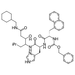 CC(C)CC(NC(=O)[C@H](Cc1c[nH]cn1)NC(=O)[C@H](Cc1cccc2ccccc12)NC(=O)OCc1ccccc1)C(O)CC(=O)NCC1CCCCC1